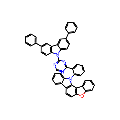 c1ccc(-c2ccc3c(c2)c2cc(-c4ccccc4)ccc2n3-c2ncnc(-c3ccccc3-n3c4ccccc4c4ccc5oc6ccccc6c5c43)n2)cc1